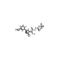 CCN(C(=S)CC[S+]([O-])CC(F)(F)F)c1cn(-c2ccc[n+](O)c2)nc1Cl